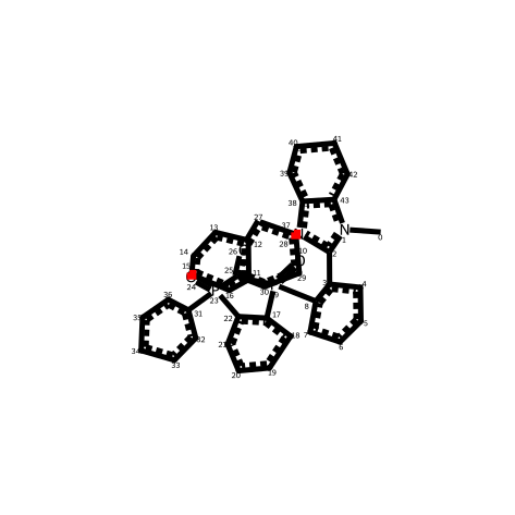 Cn1c(-c2ccccc2P(=O)(c2ccccc2)c2ccccc2P(=O)(c2ccccc2)c2ccccc2)nc2ccccc21